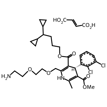 COC(=O)C1=C(C)NC(COCCOCCN)=C(C(=O)OCCCC(C2CC2)C2CC2)[C@@H]1c1cccc(Cl)c1Cl.O=C(O)C=CC(=O)O